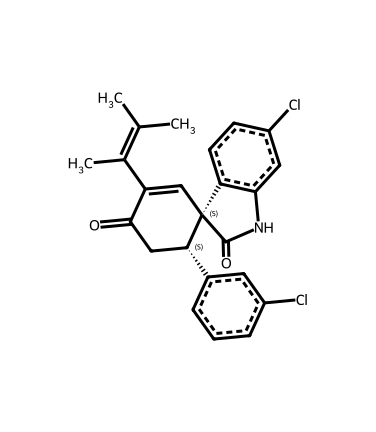 CC(C)=C(C)C1=C[C@@]2(C(=O)Nc3cc(Cl)ccc32)[C@H](c2cccc(Cl)c2)CC1=O